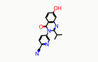 CC(C)c1nc2cc(O)ccc2c(=O)n1-c1ccc(C#N)nc1